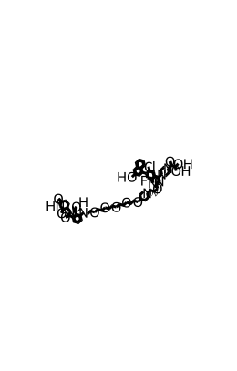 C[C@H](CN1CCC(OCCOCCOCCOCCOCCNc2cccc3c2C(=O)N(C2CCC(=O)NC2=O)C3=O)CC1)Oc1nc(N2CCN(C(=O)C(O)O)CC2)c2cc(Cl)c(-c3cc(O)cc4ccccc34)c(F)c2n1